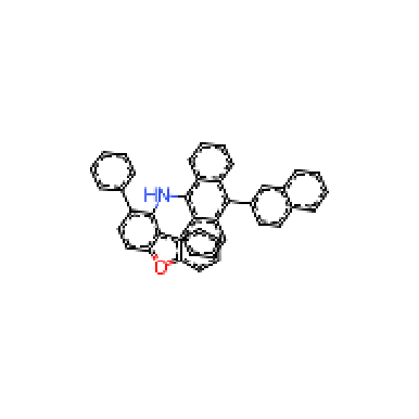 c1ccc(-c2ccc3oc4ccccc4c3c2Nc2c3ccccc3c(-c3ccc4ccccc4c3)c3ccccc23)cc1